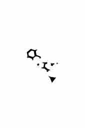 CSc1nc(NC2CC2)c2ncn(Cc3c(F)ccc(C)c3F)c2n1